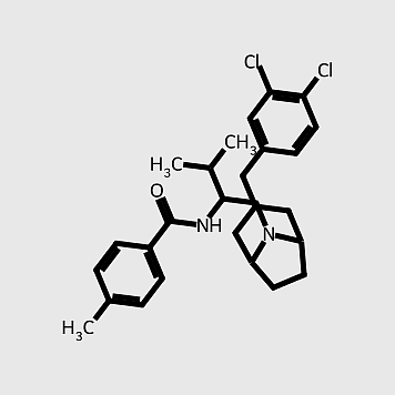 Cc1ccc(C(=O)NC(CN2C3CCC2CC(Cc2ccc(Cl)c(Cl)c2)C3)C(C)C)cc1